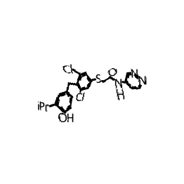 CC(C)c1cc(Cc2c(Cl)cc(SCC(=O)Nc3ccnnc3)cc2Cl)ccc1O